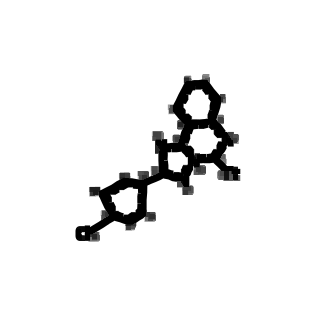 CCc1nc2ccccc2c2nc(-c3ccc(Cl)cc3)nn12